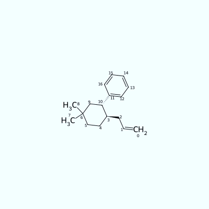 C=CC[C@H]1CCC(C)(C)C[C@@H]1c1ccccc1